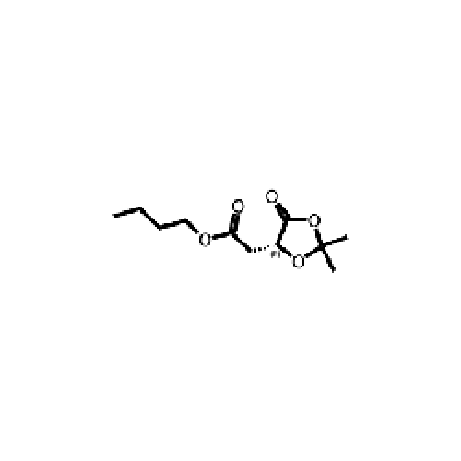 CCCCOC(=O)C[C@H]1OC(C)(C)OC1=O